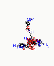 [N-]=[N+]=Nc1ccc(COC(=O)NCCCCC(N)C(=O)O[C@H]2[C@@H](O)[C@H](n3cnc4c(N)ncnc43)O[C@@H]2COP(=O)(O)O[C@H]2C[C@H](n3ccc(N)nc3=O)O[C@@H]2COP(=O)(O)O)cc1